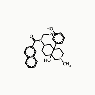 CC(C)CN(C(=O)c1ccc2ccccc2c1)C1CCC2(O)CN(C)CCC2(c2cccc(O)c2)C1